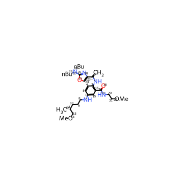 C=C(Nc1ccc(NCCC[C@@H](C)COC)cc1C(=O)NCCOC)c1coc(N(CCCC)CCCC)n1